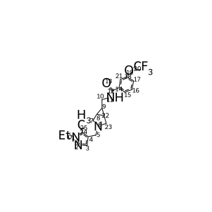 CCn1ncc(CN2CC3C(CNC(=O)c4cccc(OC(F)(F)F)c4)C3C2)c1C